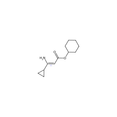 N/C(=C\C(=O)OC1CCCCC1)C1CC1